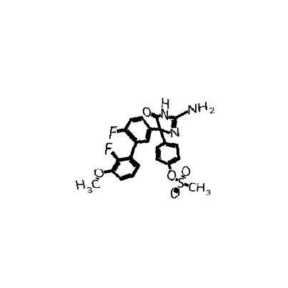 COc1cccc(-c2cc(C3(c4ccc(OS(C)(=O)=O)cc4)N=C(N)NC3=O)ccc2F)c1F